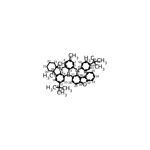 Cc1cc2c3c(c1)N1c4c(cc(C(C)(C)C)cc4C4(C)CCCCC14C)B3c1ccc3oc4ccccc4c3c1N2c1ccc(C(C)(C)C)cc1